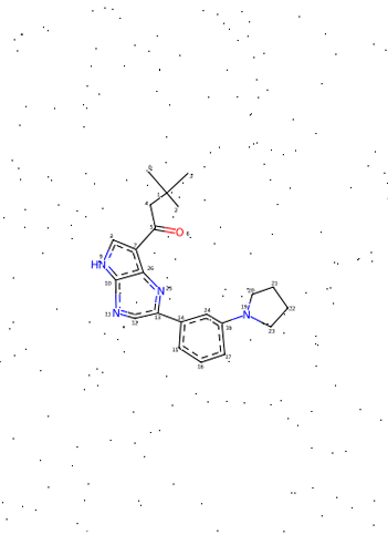 CC(C)(C)CC(=O)c1c[nH]c2ncc(-c3cccc(N4CCCC4)c3)nc12